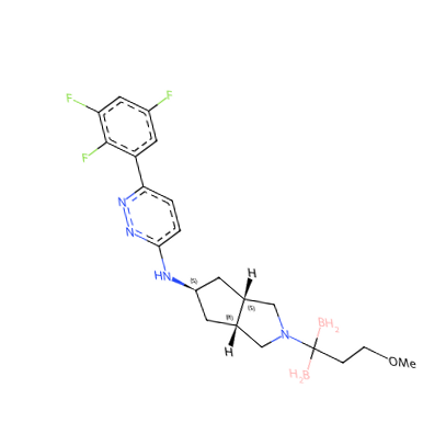 BC(B)(CCOC)N1C[C@H]2C[C@H](Nc3ccc(-c4cc(F)cc(F)c4F)nn3)C[C@H]2C1